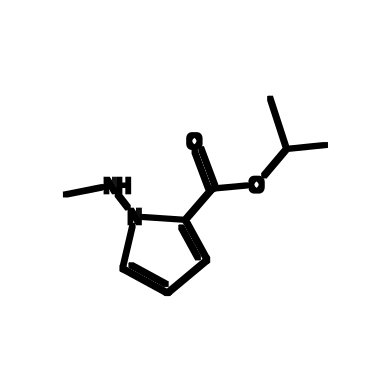 CNn1cccc1C(=O)OC(C)C